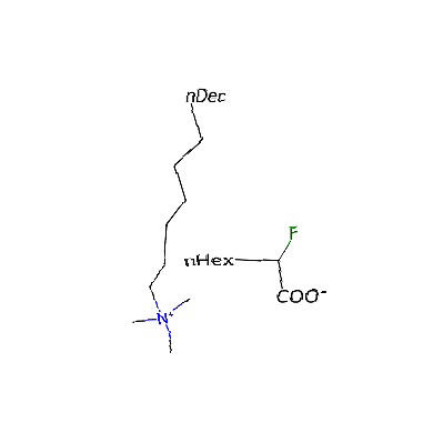 CCCCCCC(F)C(=O)[O-].CCCCCCCCCCCCCCCC[N+](C)(C)C